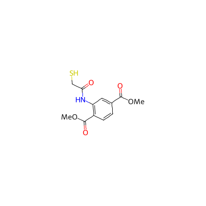 COC(=O)c1ccc(C(=O)OC)c(NC(=O)CS)c1